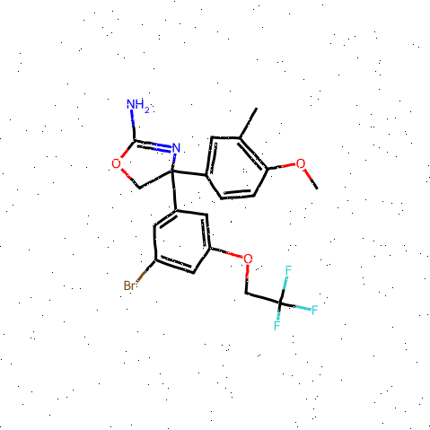 COc1ccc(C2(c3cc(Br)cc(OCC(F)(F)F)c3)COC(N)=N2)cc1C